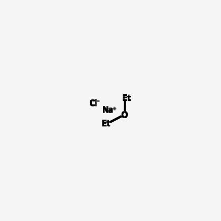 CCOCC.[Cl-].[Na+]